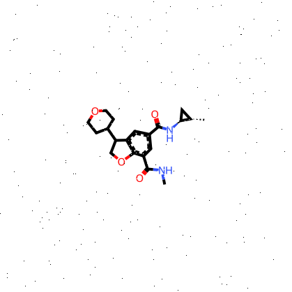 CNC(=O)c1cc(C(=O)N[C@H]2C[C@@H]2C)cc2c1OCC2C1CCOCC1